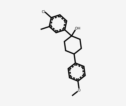 COc1ccc(C2CCC(O)(c3ccc(Cl)c(C)c3)CC2)cc1